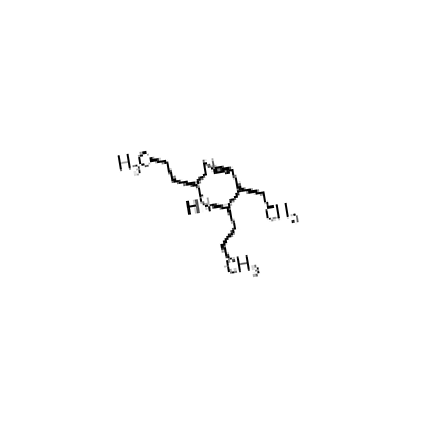 CCCC1N=CC(CC)C(CCC)N1